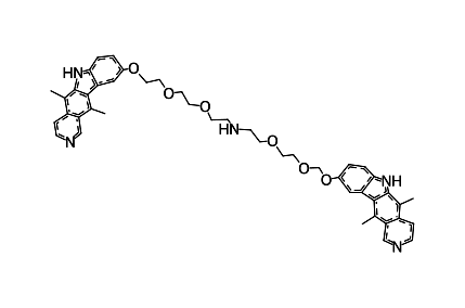 Cc1c2ccncc2c(C)c2c1[nH]c1ccc(OCCOCCOCCNCCOCCOCOc3ccc4[nH]c5c(C)c6ccncc6c(C)c5c4c3)cc12